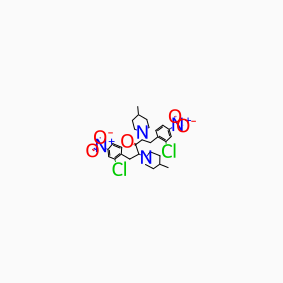 CC1CCN(C(Cc2ccc([N+](=O)[O-])cc2Cl)C(=O)C(Cc2ccc([N+](=O)[O-])cc2Cl)N2CCC(C)CC2)CC1